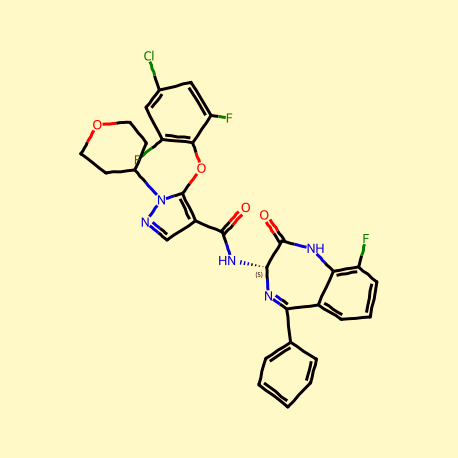 O=C(N[C@H]1N=C(c2ccccc2)c2cccc(F)c2NC1=O)c1cnn(C2CCOCC2)c1Oc1c(F)cc(Cl)cc1F